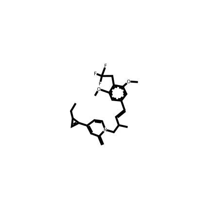 C=C1C=C(C2=CC2CC)C=CN1CC(C)/C=C/c1cc(OC)c(CC(F)(F)F)c(OC)c1